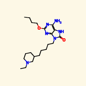 CCCCOc1nc(N)c2[nH]c(=O)n(CCCCCC3CCCN(CC)C3)c2n1